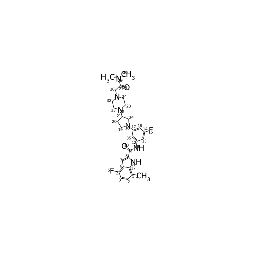 Cc1ccc(F)c2cc(C(=O)Nc3cc(F)cc(N4CCC(N5CCN(CC(=O)N(C)C)CC5)C4)c3)[nH]c12